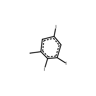 Cc1cc(I)cc(I)c1I